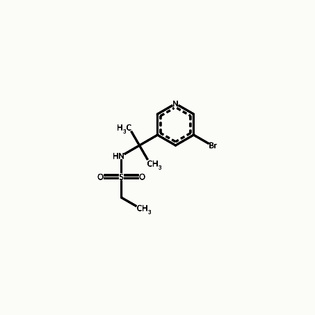 CCS(=O)(=O)NC(C)(C)c1cncc(Br)c1